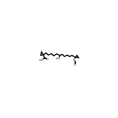 O=COC1(CCCCCC(O)CCCCCC2(C(=O)O)CC2)CC1